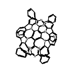 c1ccc(-c2nc(-c3ccccc3)nc(-c3c(-n4c5ccccc5c5ccncc54)c(-n4c5ccccc5c5ccncc54)c(-c4nc(-c5ccccc5)nc(-c5ccccc5)n4)c(-n4c5ccccc5c5ccncc54)c3-n3c4ccccc4c4ccncc43)n2)cc1